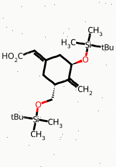 C=C1[C@H](CO[Si](C)(C)C(C)(C)C)C/C(=C\C(=O)O)C[C@H]1O[Si](C)(C)C(C)(C)C